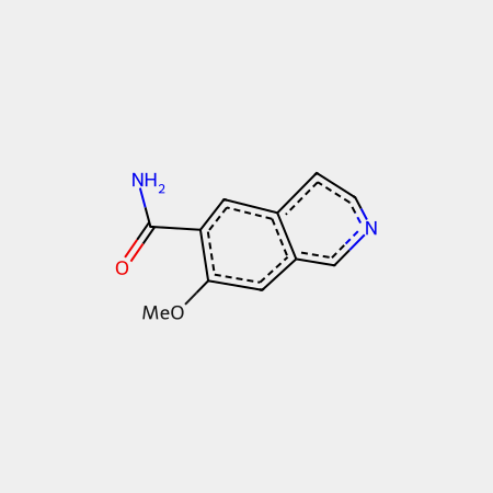 COc1cc2cnccc2cc1C(N)=O